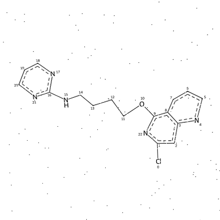 Clc1cc2ncccc2c(OCCCCNc2ncccn2)n1